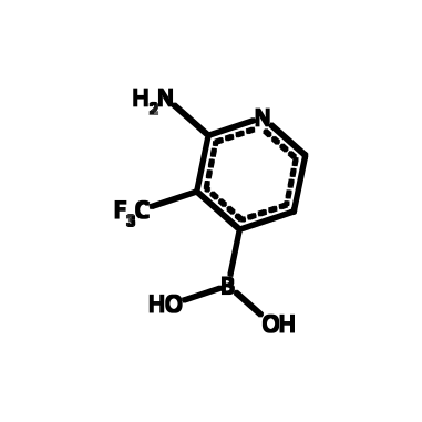 Nc1nccc(B(O)O)c1C(F)(F)F